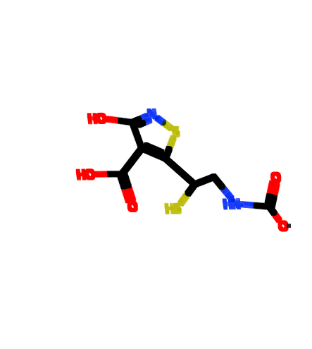 [O]C(=O)NCC(S)c1snc(O)c1C(=O)O